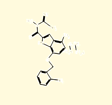 CS(=O)(=O)O.CS(=O)(=O)O.Cc1ccc(OCc2ccccc2N)c2[nH]c(C(=O)N(C)C(=N)N)cc12